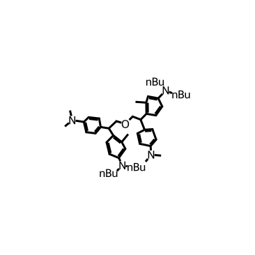 CCCCN(CCCC)c1ccc(C(COCC(c2ccc(N(C)C)cc2)c2ccc(N(CCCC)CCCC)cc2C)c2ccc(N(C)C)cc2)c(C)c1